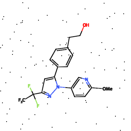 COc1ccc(-n2nc(C(F)(F)C(F)(F)F)cc2-c2ccc(CCO)cc2)cn1